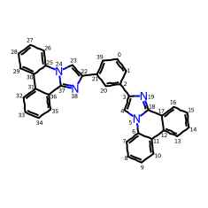 c1cc(-c2cn3c4ccccc4c4ccccc4c3n2)cc(-c2cn3c4ccccc4c4ccccc4c3n2)c1